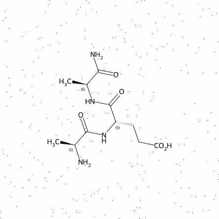 C[C@H](N)C(=O)N[C@@H](CCC(=O)O)C(=O)N[C@@H](C)C(N)=O